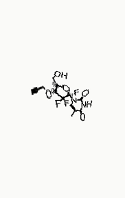 C#CCO[C@@H]1[C@@H](CO)O[C@@](F)(n2cc(C)c(=O)[nH]c2=O)C1(F)F